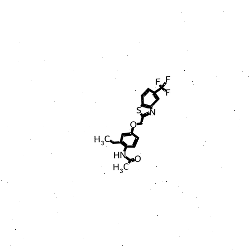 CCc1cc(OCc2nc3cc(C(F)(F)F)ccc3s2)ccc1NC(C)=O